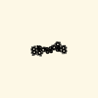 O=C(ON1CCC(c2ccccc2)(c2nc(-c3cccc4ccccc34)no2)CC1)C(=O)ON1CCC(c2ccccc2)(c2nc(-c3cccc4ccccc34)no2)CC1